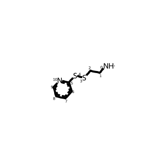 [NH]CCSSc1ccccn1